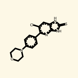 S=c1[nH]c2cc(Cl)c(-c3ccc(N4CCOCC4)cc3)nc2[nH]1